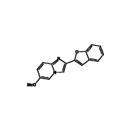 COc1ccc2nc(-c3cc4ccccc4o3)cn2c1